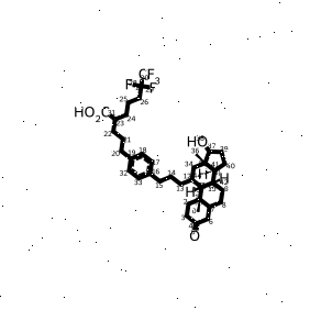 C[C@]12CCC(=O)CC1CC[C@@H]1[C@H]2C(CCCc2ccc(CCCC(CCCC(F)(F)C(F)(F)F)C(=O)O)cc2)C[C@]2(C)C(O)CC[C@@H]12